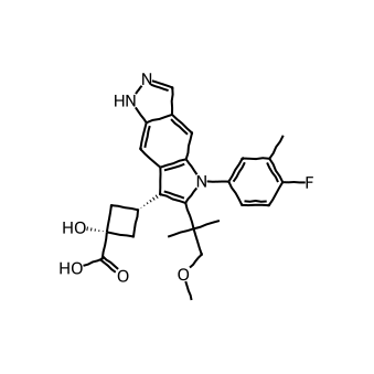 COCC(C)(C)c1c([C@H]2C[C@](O)(C(=O)O)C2)c2cc3[nH]ncc3cc2n1-c1ccc(F)c(C)c1